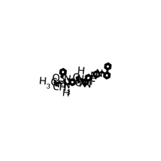 CN(C)CC[C@H](CSc1ccccc1)Nc1ccc(S(=O)(=O)Nc2ncnc3c(F)c(N4CCN(Cc5ccccc5-c5ccccc5)CC4)ccc23)cc1[N+](=O)[O-]